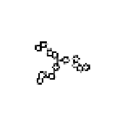 c1ccc2c(-c3ccc4cc(N(c5ccc(-c6cccc7c6oc6ccc8ccccc8c67)cc5)c5ccc(-c6cccc7c6oc6ccc8ccccc8c67)cc5)ccc4c3)cccc2c1